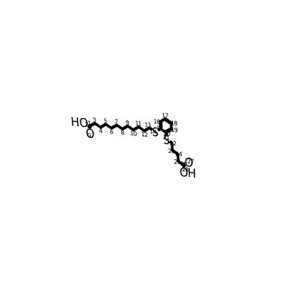 O=C(O)CCCCCCCCCCCSc1ccccc1SCCCCC(=O)O